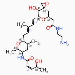 CC(/C=C/[C@H]1O[C@H](CC(=O)NCCN)C[C@@]2(CO2)[C@@H]1O)=C\C[C@@H]1O[C@H](C)[C@H](NC(=O)/C=C\[C@H](C)O)C[C@@H]1C